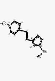 CCCCN(CC)c1ccc(/C=C/c2cc[n+](C)cc2)s1